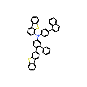 c1ccc(-c2cc(N(c3ccc(-c4cccc5ccccc45)cc3)c3cccc4c3sc3ccccc34)ccc2-c2ccc3c(c2)sc2ccccc23)cc1